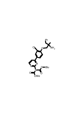 COC(=O)N(C(=O)OC(C)(C)C)c1nccc(-c2ccc(OCC(C)(N)CC(C)C)c(Cl)c2)n1